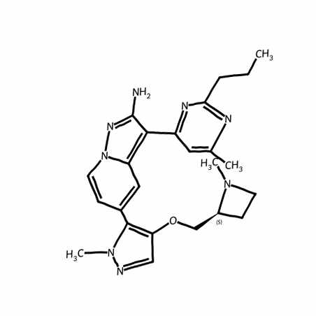 CCCc1nc(C)cc(-c2c(N)nn3ccc(-c4c(OC[C@@H]5CCN5C)cnn4C)cc23)n1